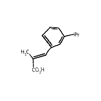 CC(=Cc1cccc(C(C)C)c1)C(=O)O